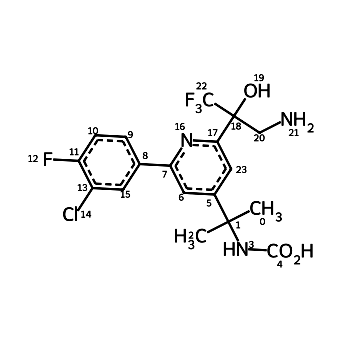 CC(C)(NC(=O)O)c1cc(-c2ccc(F)c(Cl)c2)nc(C(O)(CN)C(F)(F)F)c1